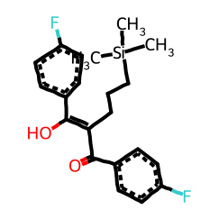 C[Si](C)(C)CCC/C(C(=O)c1ccc(F)cc1)=C(/O)c1ccc(F)cc1